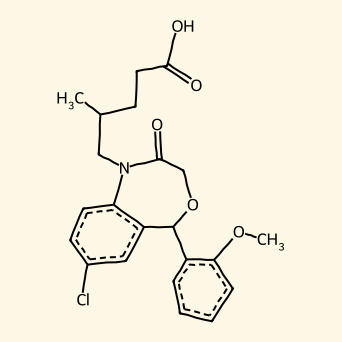 COc1ccccc1C1OCC(=O)N(CC(C)CCC(=O)O)c2ccc(Cl)cc21